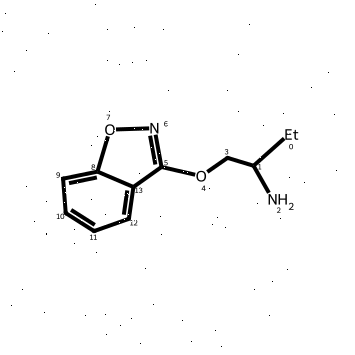 CCC(N)COc1noc2ccccc12